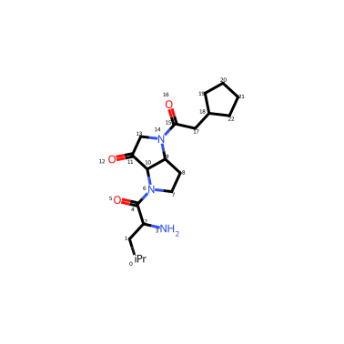 CC(C)CC(N)C(=O)N1CCC2C1C(=O)CN2C(=O)CC1CCCC1